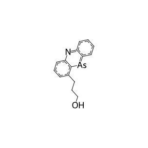 OCCCc1cccc2c1[As]=c1ccccc1=N2